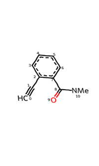 C#Cc1ccccc1C(=O)NC